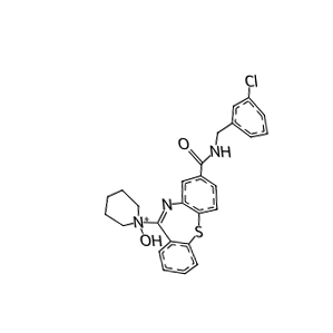 O=C(NCc1cccc(Cl)c1)c1ccc2c(c1)N=C([N+]1(O)CCCCC1)c1ccccc1S2